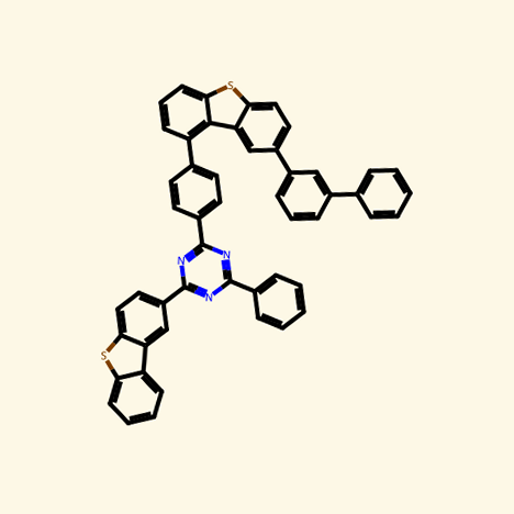 c1ccc(-c2cccc(-c3ccc4sc5cccc(-c6ccc(-c7nc(-c8ccccc8)nc(-c8ccc9sc%10ccccc%10c9c8)n7)cc6)c5c4c3)c2)cc1